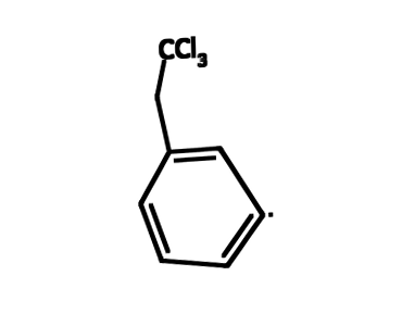 ClC(Cl)(Cl)Cc1c[c]ccc1